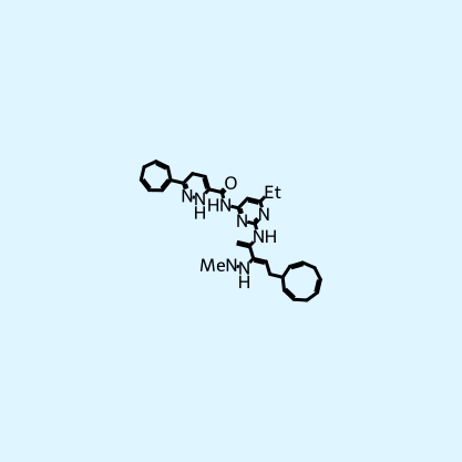 C=C(Nc1nc(CC)cc(NC(=O)C2=CCC(C3=CC=CCC=C3)=NN2)n1)/C(=C/CC1C=CC/C=C\C/C=C\1)NNC